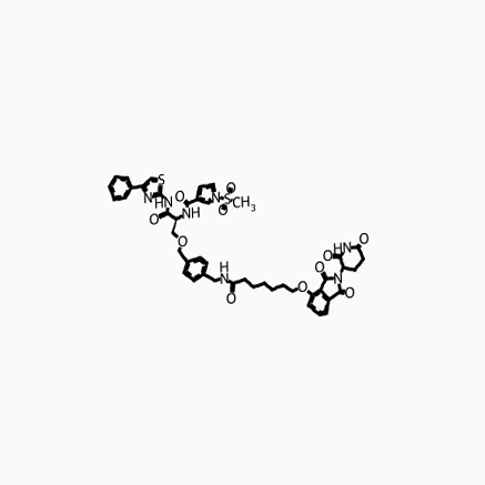 CS(=O)(=O)n1ccc(C(=O)N[C@@H](COCc2ccc(CNC(=O)CCCCCCOc3cccc4c3C(=O)N(C3CCC(=O)NC3=O)C4=O)cc2)C(=O)Nc2nc(-c3ccccc3)cs2)c1